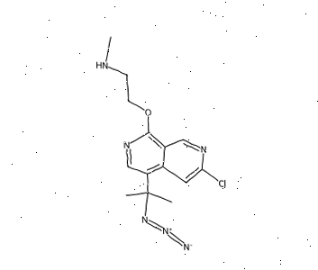 CNCCOc1ncc(C(C)(C)N=[N+]=[N-])c2cc(Cl)ncc12